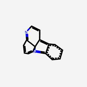 C1=CC2=NC=CC3=c4ccccc4=NC23C=C1